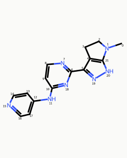 CN1CCc2c(-c3nccc(Nc4ccncc4)n3)n[nH]c21